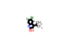 CC(c1cc(O)nc2cc(F)c(Br)cc12)C(F)(F)F